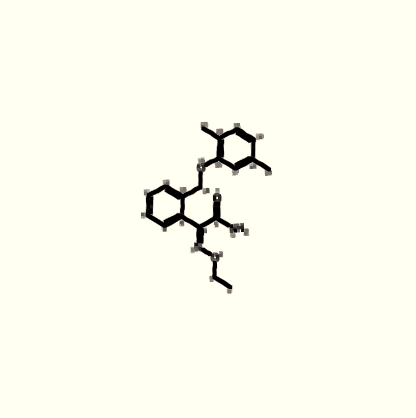 CCO/N=C(\C(N)=O)c1ccccc1COc1cc(C)ccc1C